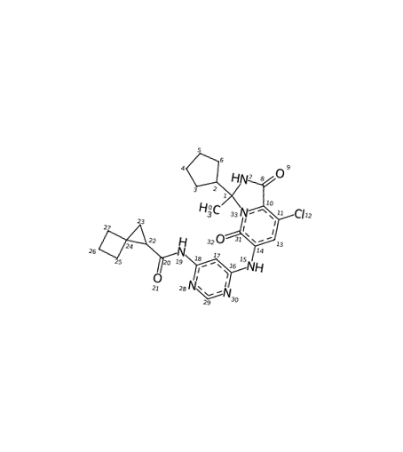 CC1(C2CCCC2)NC(=O)c2c(Cl)cc(Nc3cc(NC(=O)C4CC45CCC5)ncn3)c(=O)n21